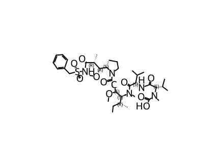 CC[C@@H](C)[C@@H]([C@H](CC(=O)N1CCC[C@H]1[C@H](OC)[C@@H](C)C(=O)NS(=O)(=O)Cc1ccccc1)OC)N(C)C(=O)[C@@H](NC(=O)[C@H](C(C)C)N(C)C(=O)O)C(C)C